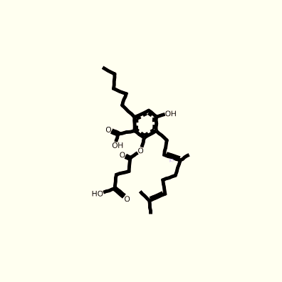 CCCCCc1cc(O)c(C/C=C(\C)CCC=C(C)C)c(OC(=O)CCC(=O)O)c1C(=O)O